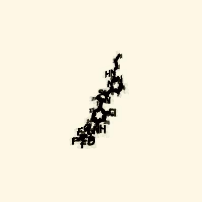 CCCNc1nccc(-c2nc(-c3ccc(NS(=O)(=O)C(F)(F)F)cc3Cl)cs2)n1